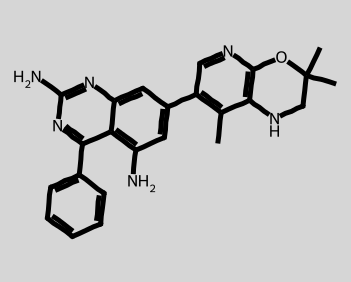 Cc1c(-c2cc(N)c3c(-c4ccccc4)nc(N)nc3c2)cnc2c1NCC(C)(C)O2